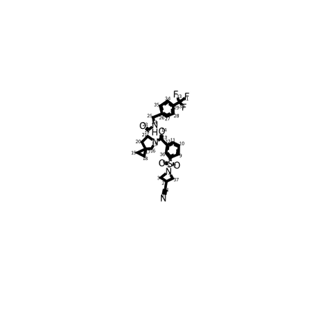 N#CC1CN(S(=O)(=O)c2cccc(C(=O)N3CC4(CC4)C[C@@H]3C(=O)NCc3ccc(C(F)(F)F)cc3)c2)C1